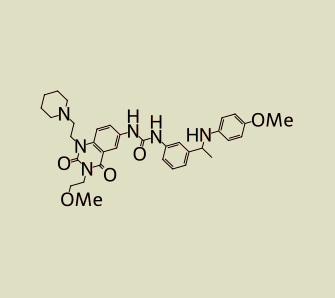 COCCn1c(=O)c2cc(NC(=O)Nc3cccc(C(C)Nc4ccc(OC)cc4)c3)ccc2n(CCN2CCCCC2)c1=O